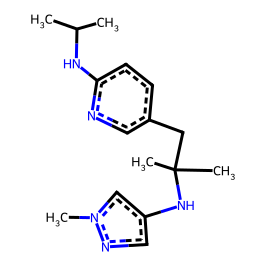 CC(C)Nc1ccc(CC(C)(C)Nc2cnn(C)c2)cn1